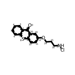 O=c1c2ccccc2sc2ccc(OCCCNCl)cc12